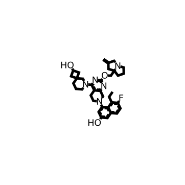 C=C1CN2CCCC2(COc2nc3c(c(N4CCCC5(CC(O)C5)C4)n2)CCN(c2cc(O)cc4ccc(F)c(CC)c24)C3)C1